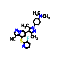 Cc1nn(C2CCC(N(C)C)CC2)c(C)c1-c1cc(Sc2ncccc2F)c2c(C#N)cnn2c1